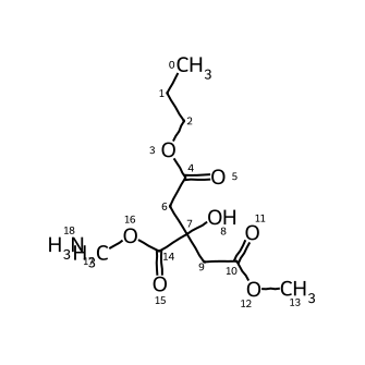 CCCOC(=O)CC(O)(CC(=O)OC)C(=O)OC.N